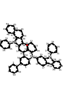 c1ccc(-c2ccc(N(c3ccccc3)c3ccc4c5ccccc5n(-c5ccccc5)c4c3)c(-c3ccc4c5ccc6ccccc6c5n(-c5ccccc5)c4c3)c2)cc1